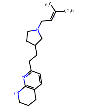 C/C(=C\CN1CCC(CCc2ccc3c(n2)NCCC3)C1)C(=O)O